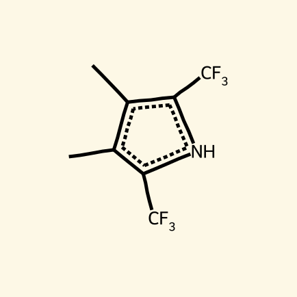 Cc1c(C(F)(F)F)[nH]c(C(F)(F)F)c1C